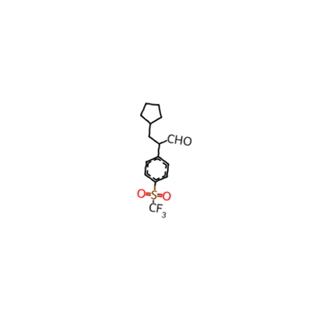 O=CC(CC1CCCC1)c1ccc(S(=O)(=O)C(F)(F)F)cc1